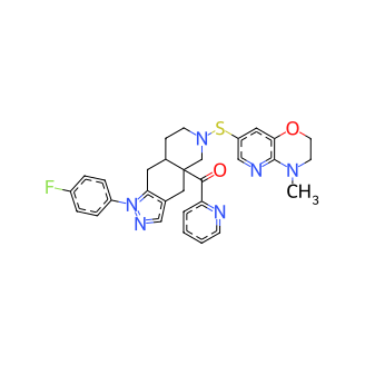 CN1CCOc2cc(SN3CCC4Cc5c(cnn5-c5ccc(F)cc5)CC4(C(=O)c4ccccn4)C3)cnc21